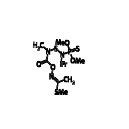 COP(=S)(OC)N(SN(C)C(=O)ON=C(C)SC)C(C)C